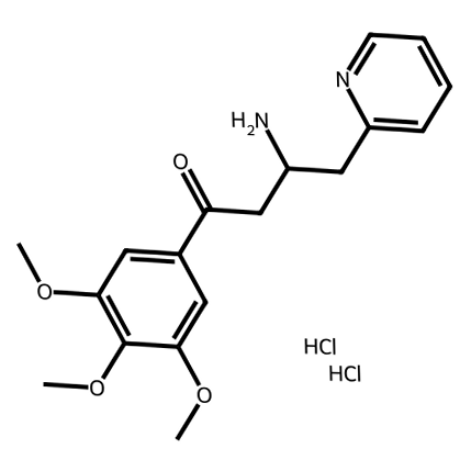 COc1cc(C(=O)CC(N)Cc2ccccn2)cc(OC)c1OC.Cl.Cl